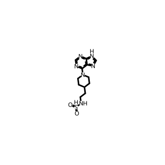 O=[SH](=O)NCCC1CCN(c2ncnc3[nH]cnc23)CC1